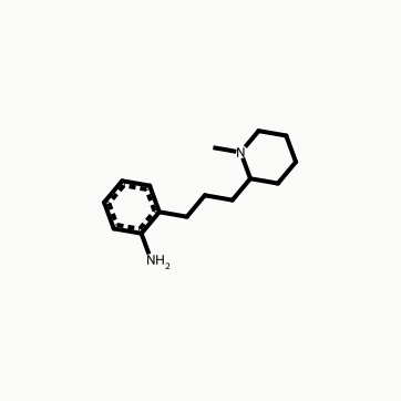 CN1CCCCC1CCCc1ccccc1N